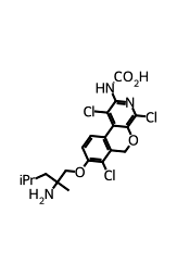 CC(C)CC(C)(N)COc1ccc2c(c1Cl)COc1c(Cl)nc(NC(=O)O)c(Cl)c1-2